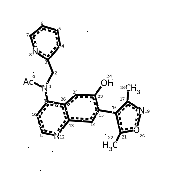 CC(=O)N(Cc1ccccn1)c1ccnc2cc(-c3c(C)noc3C)c(O)cc12